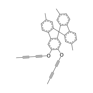 CC#CC#COc1cc2c(cc1OC#CC#CC)C1(c3cc(C)ccc3-c3ccc(C)cc31)c1cc(C)ccc1-2